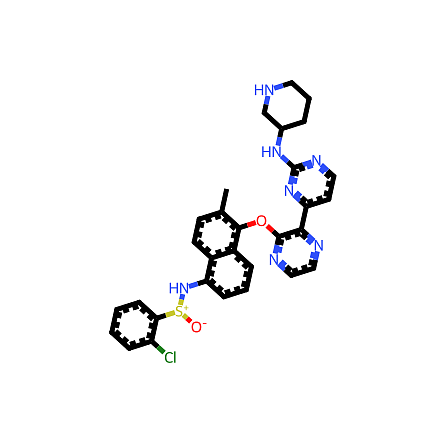 Cc1ccc2c(N[S+]([O-])c3ccccc3Cl)cccc2c1Oc1nccnc1-c1ccnc(NC2CCCNC2)n1